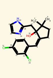 CC1(C)CC/C(=C/c2ccc(Cl)cc2Cl)C1(O)Cc1ncc[nH]1